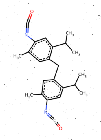 Cc1cc(Cc2cc(C)c(N=C=O)cc2C(C)C)c(C(C)C)cc1N=C=O